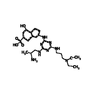 CCN(CC)CCCNc1nc(NCC(C)N)nc(Nc2ccc3c(O)cc(S(=O)(=O)O)cc3c2)n1